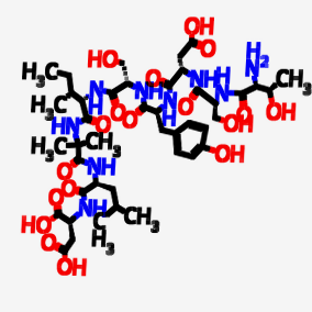 CC[C@H](C)[C@H](NC(=O)[C@H](CO)NC(=O)[C@H](Cc1ccc(O)cc1)NC(=O)[C@H](CC(=O)O)NC(=O)[C@H](CO)NC(=O)[C@@H](N)[C@@H](C)O)C(=O)NC(C)(C)C(=O)N[C@@H](CC(C)C)C(=O)N[C@@H](CC(=O)O)C(=O)O